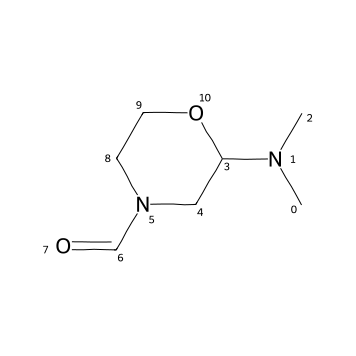 CN(C)C1CN(C=O)CCO1